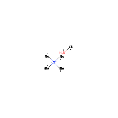 CCC(C)[N+](C(C)CC)(C(C)CC)C(C)CC.[BH3-]C#N